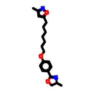 Cc1cc(CCCCCCCOc2ccc(C3=NC(C)CO3)cc2)on1